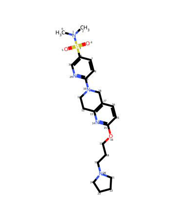 CN(C)S(=O)(=O)c1ccc(N2CCc3nc(OCCCN4CCCC4)ccc3C2)nc1